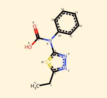 CCc1nnc(N(C(=O)O)c2ccccc2)s1